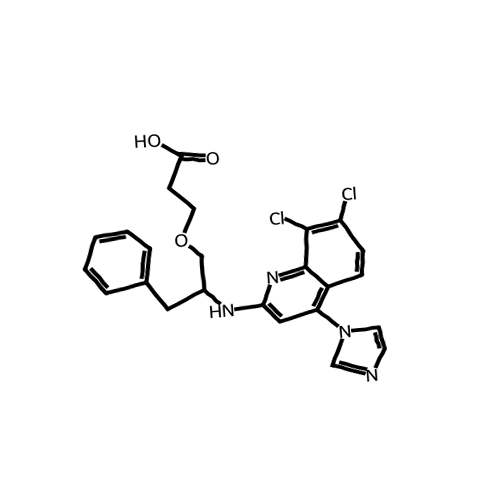 O=C(O)CCOCC(Cc1ccccc1)Nc1cc(-n2ccnc2)c2ccc(Cl)c(Cl)c2n1